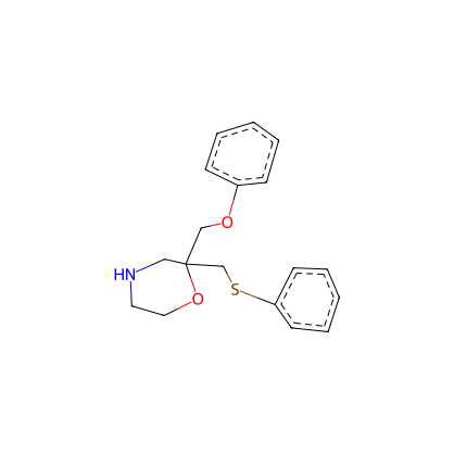 c1ccc(OCC2(CSc3ccccc3)CNCCO2)cc1